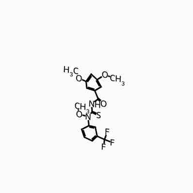 COc1cc(OC)cc(C(=O)NC(=S)N(OC)c2cccc(C(F)(F)F)c2)c1